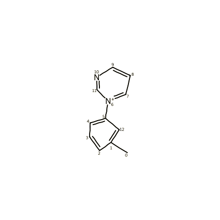 Cc1cccc(-[n+]2cccnc2)c1